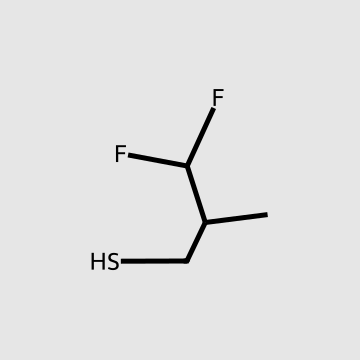 CC(CS)C(F)F